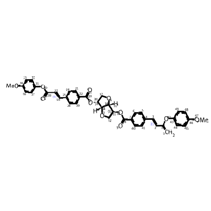 C=C(/C=C/c1ccc(C(=O)O[C@H]2CO[C@H]3[C@@H]2OC[C@H]3OC(=O)c2ccc(/C=C/C(=O)Oc3ccc(OC)cc3)cc2)cc1)Oc1ccc(OC)cc1